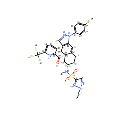 CCn1ncc(S(=O)(=O)N(C)[C@H]2CCC3=Cc4c(cnn4-c4ccc(F)cc4)C[C@]3(C(=O)c3cccc(C(F)(F)F)n3)C2)n1